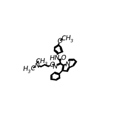 COc1ccc(NC(=O)C(=NOCCCN(C)C)c2c(-c3ccccc3)cc3ccccn23)cc1